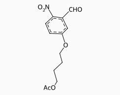 CC(=O)OCCCCOc1ccc([N+](=O)[O-])c(C=O)c1